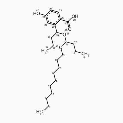 CCCCCCCCCCOC(CCC)OC(CCC)c1cc(O)ccc1C(=O)O